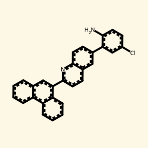 Nc1ccc(Cl)cc1-c1ccc2nc(-c3cc4ccccc4c4ccccc34)ccc2c1